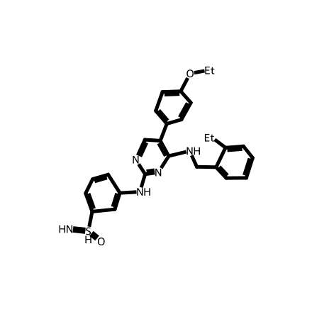 CCOc1ccc(-c2cnc(Nc3cccc([SH](=N)=O)c3)nc2NCc2ccccc2CC)cc1